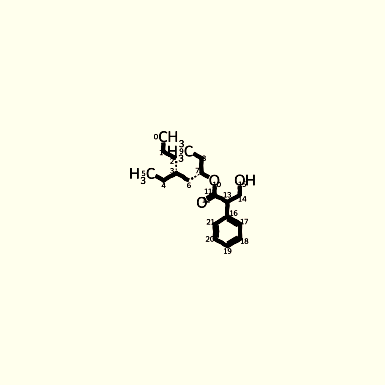 CCC[C@@H](CC)C[C@H](CC)OC(=O)C(CO)c1ccccc1